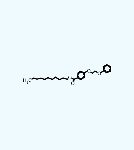 CCCCCCCCCCCOC(=O)c1ccc(OCCOc2ccccc2)cc1